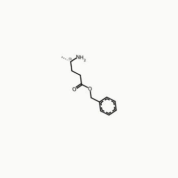 C[C@H](N)CCC(=O)OCc1ccccc1